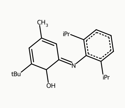 CC1=CC(=Nc2c(C(C)C)cccc2C(C)C)C(O)C(C(C)(C)C)=C1